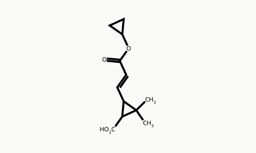 CC1(C)C(/C=C/C(=O)OC2CC2)C1C(=O)O